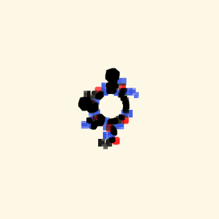 CC(=O)NCC(=O)NC1CC(=O)NCCCCC(C(N)=O)NC(=O)[C@H](Cc2c[nH]c3ccccc23)NC(=O)C(C)NC(=O)C(Cc2ccccc2)NC(=O)C(Cc2c[nH]cn2)NC1=O